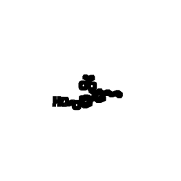 C=CCCc1ccc(-c2ccc(OCCO)cc2)c(COC(=O)C(=C)C)c1